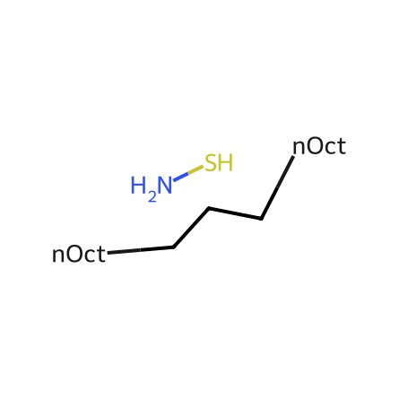 CCCCCCCCCCCCCCCCCCC.NS